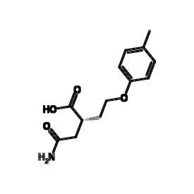 Cc1ccc(OCC[C@H](CC(N)=O)C(=O)O)cc1